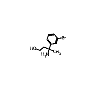 CC(N)(CCO)c1cccc(Br)c1